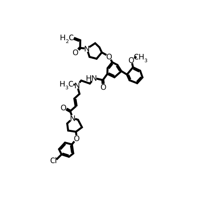 C=CC(=O)N1CCC(Oc2cc(C(=O)NCCN(C)C/C=C/C(=O)N3CCC(Oc4ccc(Cl)cc4)CC3)cc(-c3ccccc3OC)c2)CC1